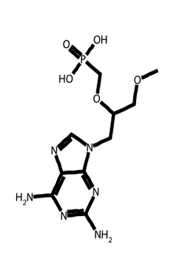 COCC(Cn1cnc2c(N)nc(N)nc21)OCP(=O)(O)O